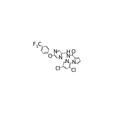 O=C(NCc1cnc(Oc2ccc(C(F)(F)F)cc2)cn1)c1cccn1-c1ncc(Cl)cc1Cl